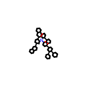 c1ccc(-c2ccc(-c3ccc(N(c4ccccc4-c4ccccc4)c4cc(-c5ccc6ccccc6c5)ccc4-c4ccc5ccccc5c4)cc3)cc2-c2ccccc2)cc1